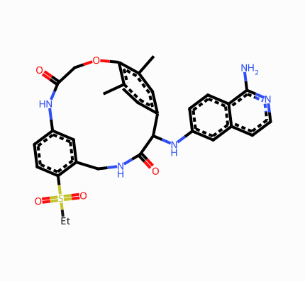 CCS(=O)(=O)c1ccc2cc1CNC(=O)C(Nc1ccc3c(N)nccc3c1)c1cc(C)c(c(C)c1)OCC(=O)N2